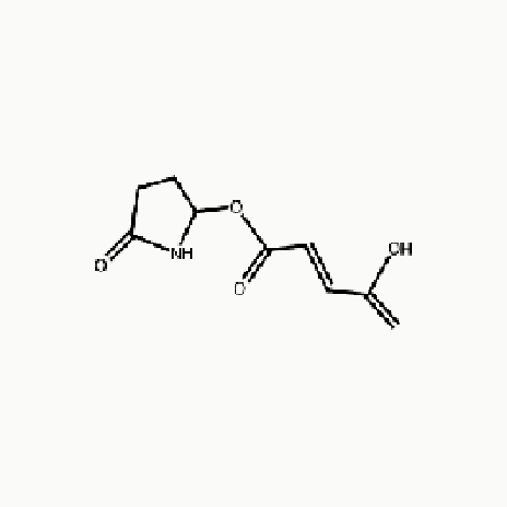 C=C(O)/C=C/C(=O)OC1CCC(=O)N1